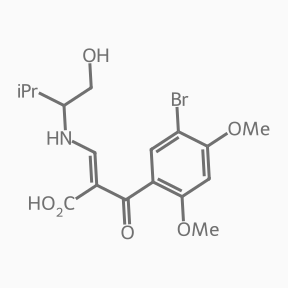 COc1cc(OC)c(C(=O)C(=CNC(CO)C(C)C)C(=O)O)cc1Br